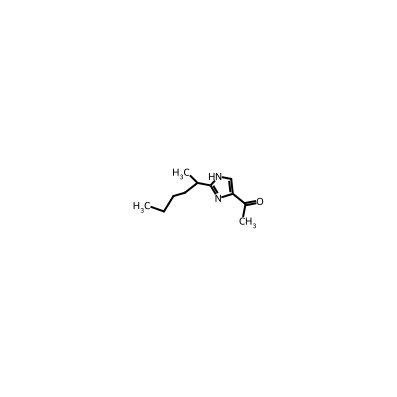 CCCCC(C)c1nc(C(C)=O)c[nH]1